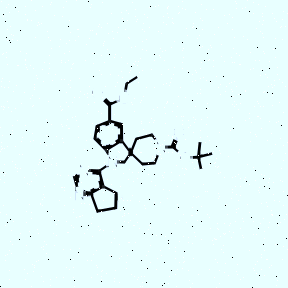 CCOC(=O)c1ccc2c(c1)C1(CCN(C(=O)OC(C)(C)C)CC1)CN2c1ncnc2c1[C@H](C)CC2